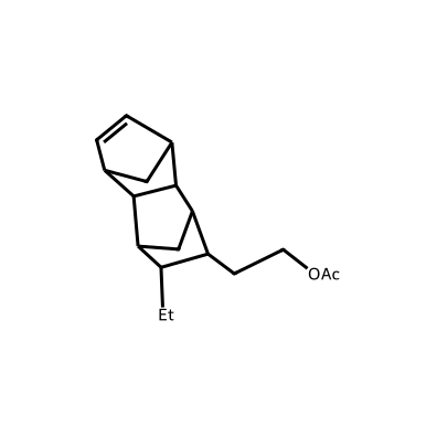 CCC1C(CCOC(C)=O)C2CC1C1C3C=CC(C3)C21